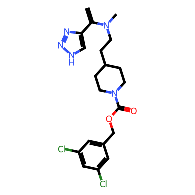 C=C(c1c[nH]nn1)N(C)CCC1CCN(C(=O)OCc2cc(Cl)cc(Cl)c2)CC1